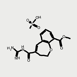 COC(=O)c1cccc2c1OCCC(C(=O)NC(=N)N)=C2.CS(=O)(=O)O